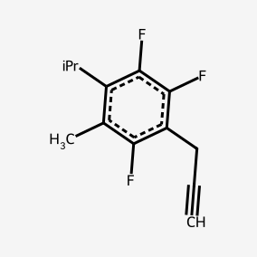 C#CCc1c(F)c(C)c(C(C)C)c(F)c1F